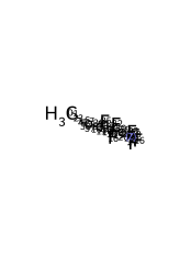 CCCCCc1ccc(-c2ccc(-c3cc(F)c(C4CCC(/C(F)=C/C(F)(F)F)CC4)c(F)c3)c(F)c2)cc1